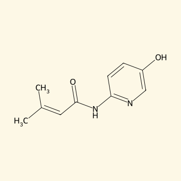 CC(C)=CC(=O)Nc1ccc(O)cn1